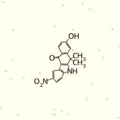 CC1(C)c2cc(O)ccc2C(=O)c2c1[nH]c1ccc([N+](=O)[O-])cc21